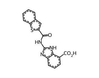 O=C(Nc1nc2cccc(C(=O)O)c2[nH]1)c1cc2ccccc2s1